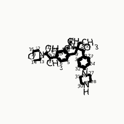 CCC(Cc1ccc(C(C)C(=O)N2CCOCC2)cc1)(C(=O)c1ccc(N2CCNCC2)cc1)N(C)C